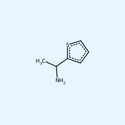 C[C](N)c1cccs1